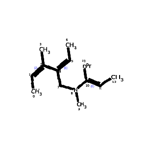 C/C=C(C)\C(=C/C)CN(C)/C(=C/C)CCC